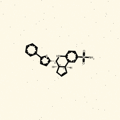 NS(=O)(=O)c1ccc2c(c1)[C@H]1C=CC[C@H]1[C@H](c1ccc(-c3ccccc3)s1)N2